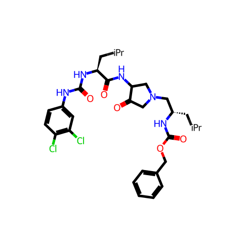 CC(C)C[C@@H](CN1CC(=O)C(NC(=O)[C@H](CC(C)C)NC(=O)Nc2ccc(Cl)c(Cl)c2)C1)NC(=O)OCc1ccccc1